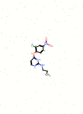 CCCNc1nccc(Oc2ccc([N+](=O)[O-])cc2Cl)n1